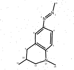 CN=Nc1ccc2c(c1)CC(C)CN2C